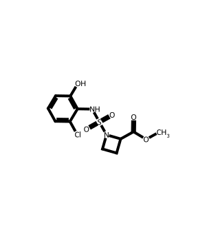 COC(=O)C1CCN1S(=O)(=O)Nc1c(O)cccc1Cl